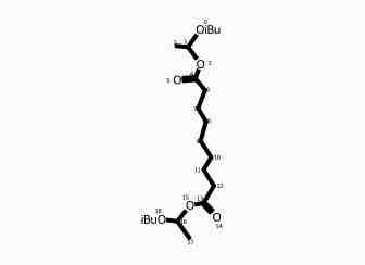 CC(C)COC(C)OC(=O)CCCCCCCC(=O)OC(C)OCC(C)C